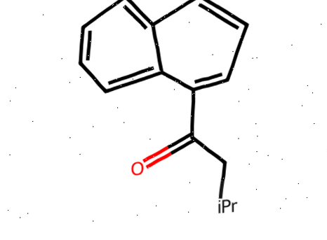 CC(C)CC(=O)c1cccc2ccccc12